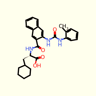 Cc1ccccc1NC(=O)Nc1cc2ccccc2cc1C(=O)N[C@@H](CC1CCCCC1)C(=O)O